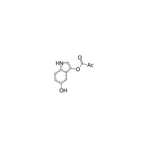 CC(=O)C(=O)Oc1c[nH]c2ccc(O)cc12